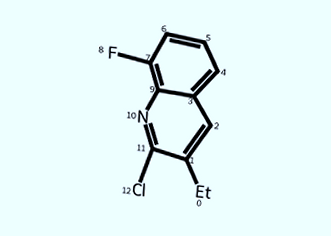 CCc1cc2cccc(F)c2nc1Cl